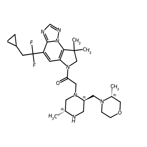 C[C@@H]1CN(CC(=O)N2CC(C)(C)c3c2cc(C(F)(F)CC2CC2)c2ncnn32)[C@@H](CN2CCOC[C@H]2C)CN1